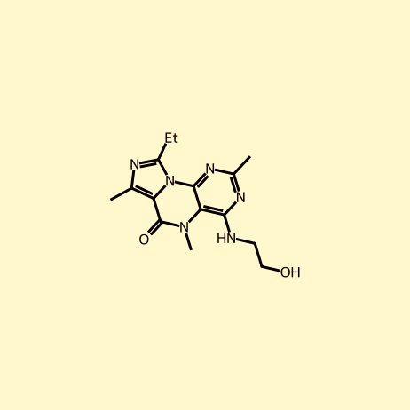 CCc1nc(C)c2c(=O)n(C)c3c(NCCO)nc(C)nc3n12